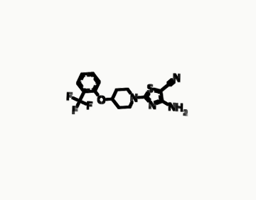 N#Cc1sc(N2CCC(Oc3ccccc3C(F)(F)F)CC2)nc1N